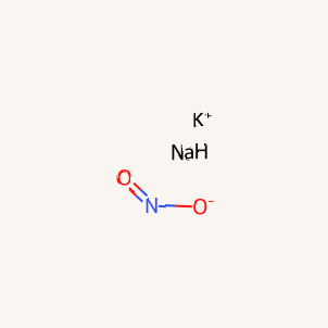 O=N[O-].[K+].[NaH]